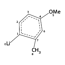 [Li][c]1ccc(OC)cc1C